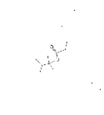 [CH2]CC(=O)OC(C)(C)C(C)C